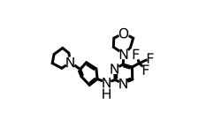 FC(F)(F)c1cnc(Nc2ccc(N3CCCCC3)cc2)nc1N1CCOCC1